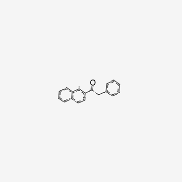 O=C(Cc1ccccc1)c1[c]c2ccccc2cc1